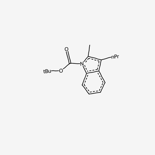 CCCc1c(C)n(C(=O)OC(C)(C)C)c2ccccc12